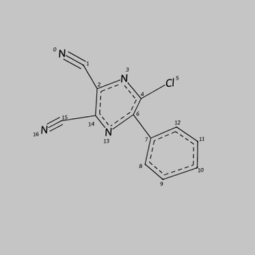 N#Cc1nc(Cl)c(-c2ccccc2)nc1C#N